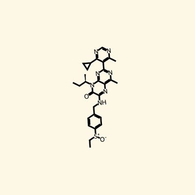 CC[C@@H](C)n1c(=O)c(NCc2ccc([S+]([O-])CC)cc2)nc2c(C)nc(-c3c(C)ncnc3C3CC3)nc21